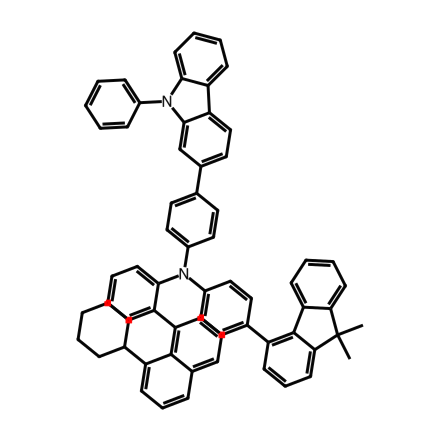 CC1(C)c2ccccc2-c2c(-c3ccc(N(c4ccc(-c5ccc6c7ccccc7n(-c7ccccc7)c6c5)cc4)c4ccccc4-c4cccc5cccc(C6CCCCC6)c45)cc3)cccc21